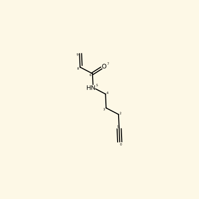 C#CCCCNC(=O)C=C